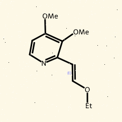 CCO/C=C/c1nccc(OC)c1OC